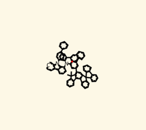 CC1(C)c2ccccc2-c2c3c(cc(-c4cc(-c5ccccc5)cc(N(c5ccccc5-c5ccccc5)c5cccc6c7ccccc7n(-c7ccc(-c8ccccc8)cc7)c56)c4)c21)C1(c2ccccc2-c2ccccc21)c1ccccc1-3